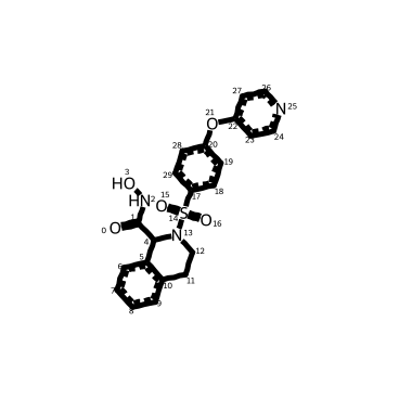 O=C(NO)C1c2ccccc2CCN1S(=O)(=O)c1ccc(Oc2ccncc2)cc1